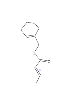 C/C=C/C(=O)OCC1=CCCCC1